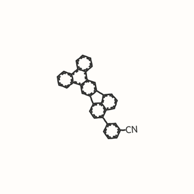 N#Cc1cccc(-c2ccc3c4c(cccc24)-c2cc4c5ccccc5c5ccccc5c4cc2-3)c1